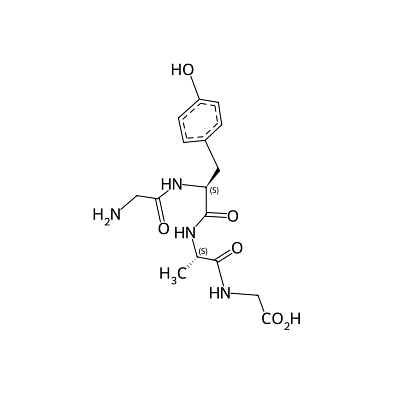 C[C@H](NC(=O)[C@H](Cc1ccc(O)cc1)NC(=O)CN)C(=O)NCC(=O)O